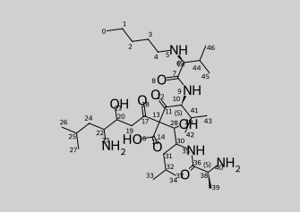 CCCCCN[C@H](C(=O)N[C@H](C(=O)C(C(=O)O)(C(=O)CC(O)C(N)CC(C)C)C(O)C(CC(C)C)NC(=O)[C@H](C)N)C(C)C)C(C)C